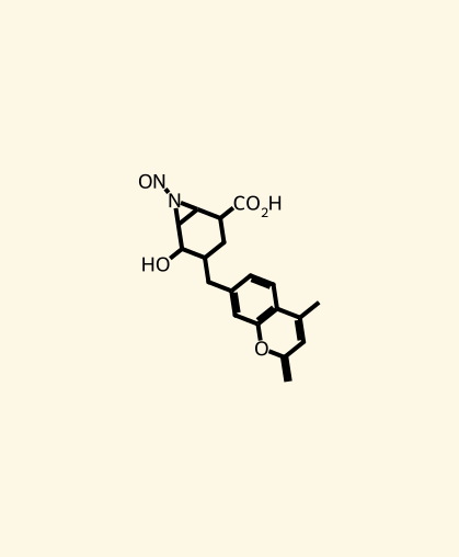 C=C1C=C(C)c2ccc(CC3CC(C(=O)O)C4C(C3O)N4N=O)cc2O1